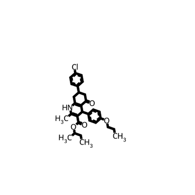 CCCOc1ccc(C2C(C(=O)OC(C)CC)=C(C)NC3=C2C(=O)CC(c2ccc(Cl)cc2)C3)cc1